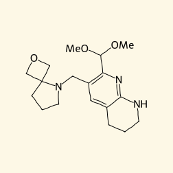 COC(OC)c1nc2c(cc1CN1CCCC13COC3)CCCN2